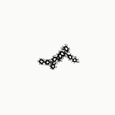 Cc1ccc(-c2ccc(N(c3ccc4cc5c(cc4c3)C(C)(C)c3cc(N(c4ccc(-c6ccccc6)cc4)c4ccccc4C)ccc3-5)c3ccccc3C)cc2)cc1